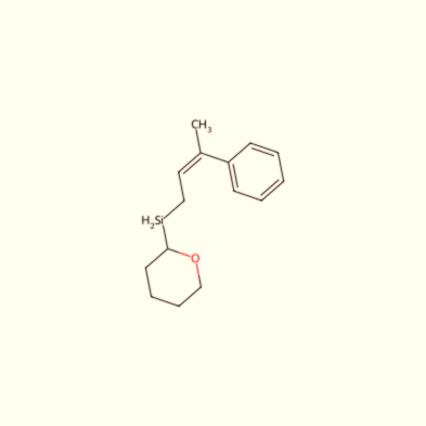 CC(=CC[SiH2]C1CCCCO1)c1ccccc1